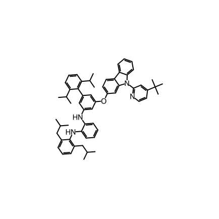 CC(C)Cc1cccc(CC(C)C)c1Nc1ccccc1Nc1cc(Oc2ccc3c4ccccc4n(-c4cc(C(C)(C)C)ccn4)c3c2)cc(-c2c(C(C)C)cccc2C(C)C)c1